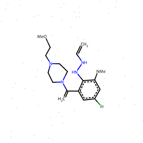 C=CNNc1c(NC)cc(Br)cc1C(=C)N1CCN(CCOC)CC1